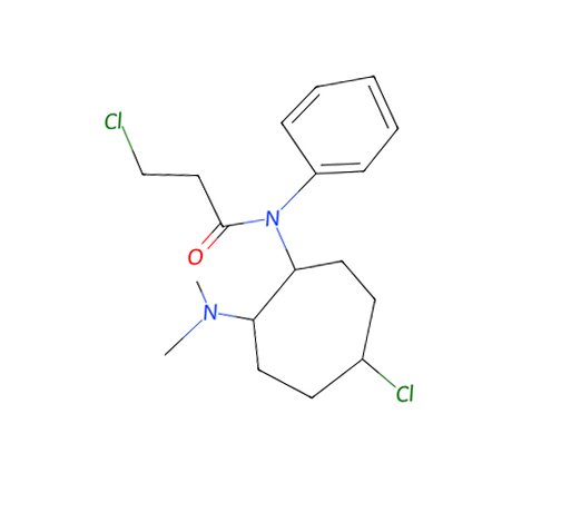 CN(C)C1CCC(Cl)CCC1N(C(=O)CCCl)c1ccccc1